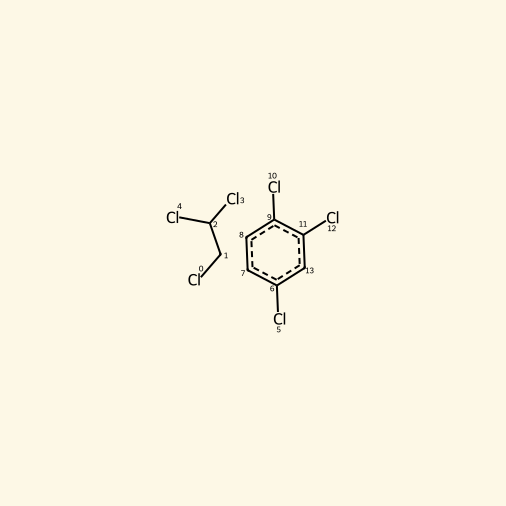 ClCC(Cl)Cl.Clc1ccc(Cl)c(Cl)c1